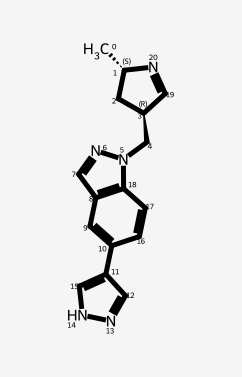 C[C@H]1C[C@H](Cn2ncc3cc(-c4cn[nH]c4)ccc32)C=N1